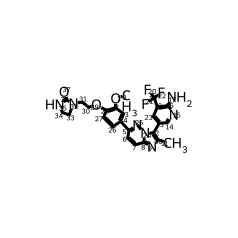 COc1cc(-c2ccc3nc(C)c(-c4cnc(N)c(C(F)(F)F)c4)n3n2)ccc1OCCN1CCNC1=O